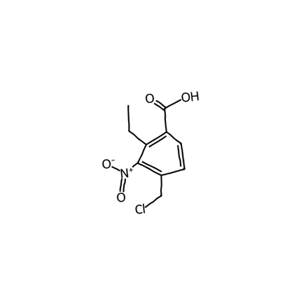 CCc1c(C(=O)O)ccc(CCl)c1[N+](=O)[O-]